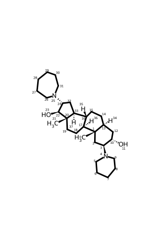 C[C@]12C[C@H](N3CCCCC3)[C@@H](O)C[C@@H]1CC[C@@H]1[C@@H]2CC[C@]2(C)[C@@H](O)[C@H](N3CCCCCC3)C[C@@H]12